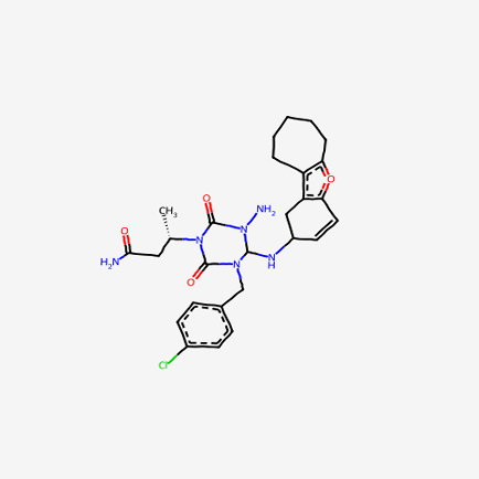 C[C@@H](CC(N)=O)N1C(=O)N(N)C(NC2C=Cc3oc4c(c3C2)CCCCC4)N(Cc2ccc(Cl)cc2)C1=O